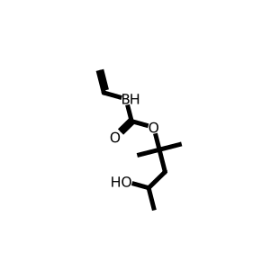 C=CBC(=O)OC(C)(C)CC(C)O